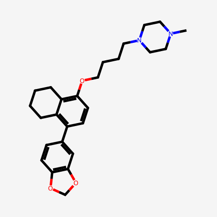 CN1CCN(CCCCOc2ccc(-c3ccc4c(c3)OCO4)c3c2CCCC3)CC1